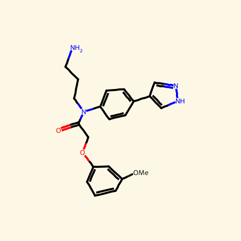 COc1cccc(OCC(=O)N(CCCN)c2ccc(-c3cn[nH]c3)cc2)c1